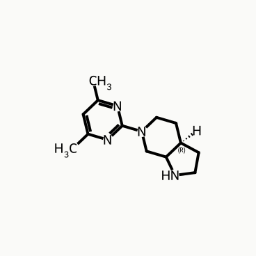 Cc1cc(C)nc(N2CC[C@H]3CCNC3C2)n1